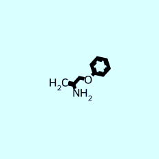 C=C(N)COc1ccccc1